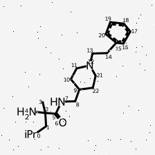 CC(C)CC(C)(N)C(=O)NCC1CCN(CCc2ccccc2)CC1